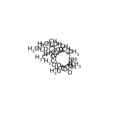 CC[C@H]1OC(=O)C(C)C(=O)[C@H](C)[C@@H](O[C@@H]2O[C@H](CN(C)C(=O)CN(C)C3CC3)C[C@H](N(C)C)[C@H]2O)[C@](C)(OC)C[C@@H](C)CN[C@H](C)[C@H]2NC(=O)O[C@@]21C